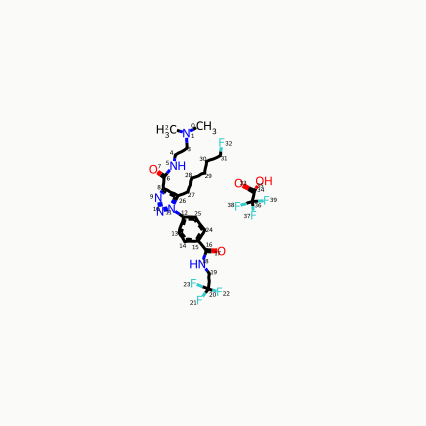 CN(C)CCNC(=O)c1nnn(-c2ccc(C(=O)NCC(F)(F)F)cc2)c1CCCCCF.O=C(O)C(F)(F)F